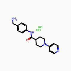 Cl.Cl.NCc1ccc(NC(=O)C2CCN(c3ccncc3)CC2)cc1